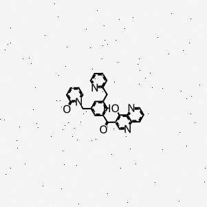 O=C(c1cc(Cc2ccccn2)cc(Cn2ccccc2=O)c1)c1cnc2cccnc2c1O